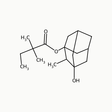 CCC(C)(C)C(=O)OC12CC3CC(CC(O)(C3)C1C)C2